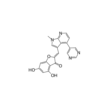 Cn1cc(C=C2Oc3cc(O)cc(O)c3C2=O)c2c(-c3cncnc3)ccnc21